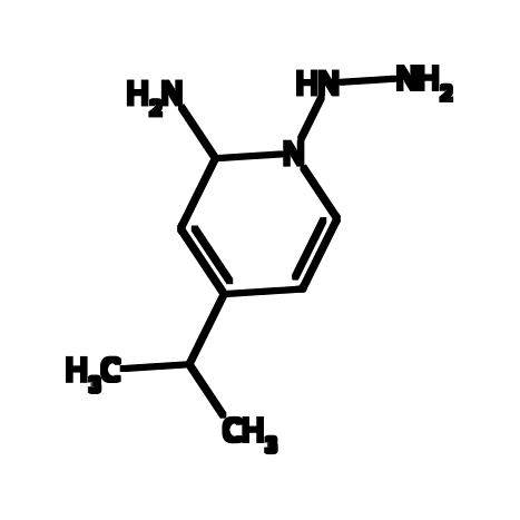 CC(C)C1=CC(N)N(NN)C=C1